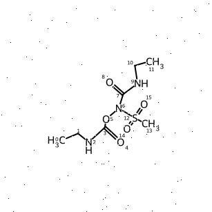 CCNC(=O)ON(C(=O)NCC)S(C)(=O)=O